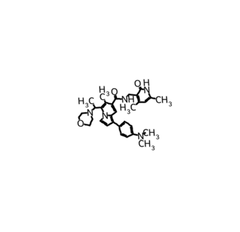 Cc1cc(C)c(CNC(=O)c2cc3c(-c4ccc(N(C)C)cc4)ccn3c(C(C)N3CCOCC3)c2C)c(=O)[nH]1